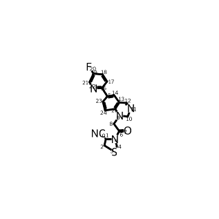 N#C[C@@H]1CSCN1C(=O)CN1CN=Cc2cc(-c3ccc(F)cn3)ccc21